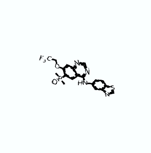 CP(C)(=O)c1cc2c(Nc3ccc4scnc4c3)ncnc2cc1OCC(F)(F)F